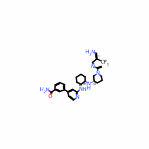 C=C(/N=C\C(=C/N)C(F)(F)F)N1CCC[C@H](N[C@@H]2CCCC[C@H]2Nc2cc(-c3cccc(C(N)=O)c3)ccn2)C1